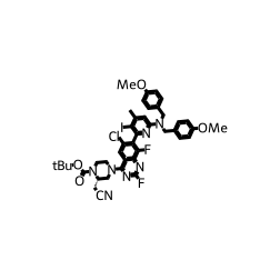 COc1ccc(CN(Cc2ccc(OC)cc2)c2cc(C)c(I)c(-c3c(Cl)cc4c(N5CCN(C(=O)OC(C)(C)C)[C@@H](CC#N)C5)nc(F)nc4c3F)n2)cc1